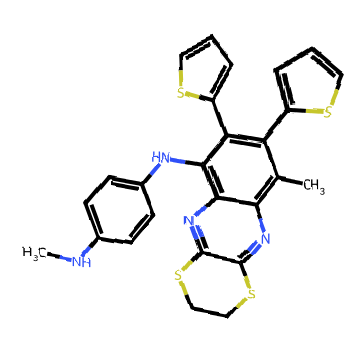 CNc1ccc(Nc2c(-c3cccs3)c(-c3cccs3)c(C)c3nc4c(nc23)SCCS4)cc1